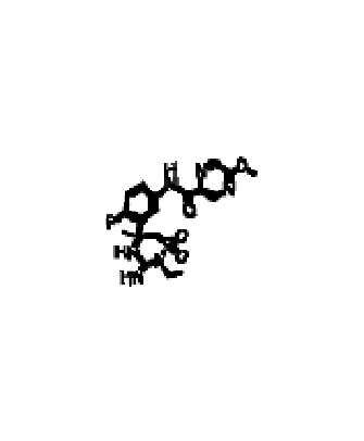 CCN1C(=N)N[C@](C)(c2cc(NC(=O)c3cnc(OC)cn3)ccc2F)CS1(=O)=O